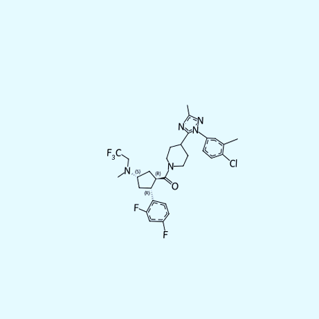 Cc1nc(C2CCN(C(=O)[C@@H]3C[C@@H](N(C)CC(F)(F)F)C[C@H]3c3ccc(F)cc3F)CC2)n(-c2ccc(Cl)c(C)c2)n1